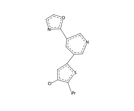 CC(C)c1sc(-c2cncc(-c3ncco3)c2)cc1Cl